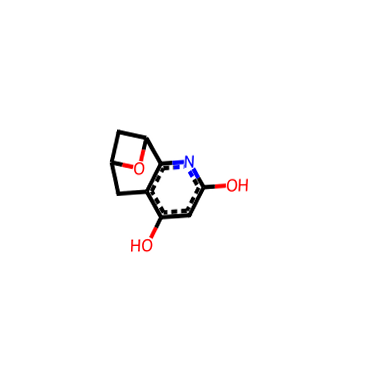 Oc1cc(O)c2c(n1)C1CC(C2)O1